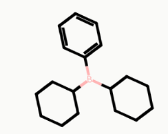 c1ccc(B(C2CCCCC2)C2CCCCC2)cc1